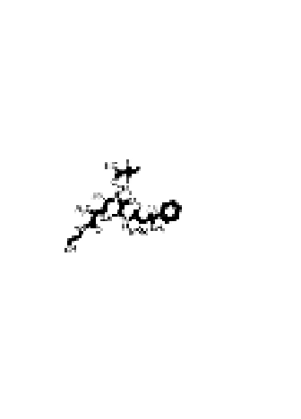 CN[C@H](C(=O)N[C@H](C(=O)N(C)[C@H](/C=C(\C)C(=O)NCCC#N)C(C)C)C(C)(C)C)C(C)(C)c1ccccc1.O=C(O)C(F)(F)F